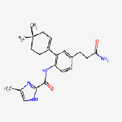 Cc1c[nH]c(C(=O)Nc2ccc(CCC(N)=O)cc2C2=CCC(C)(C)CC2)n1